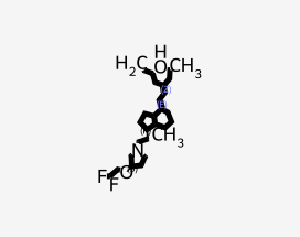 C=CC(O)C/C(=C\C=C1/CCCC2(C)C1CC[C@@H]2CCN1CC[C@H](OCC(F)F)C1)CCC